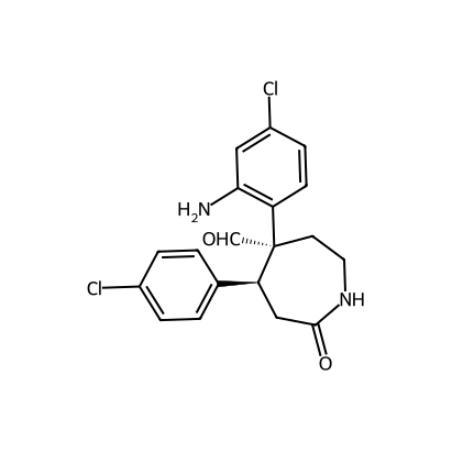 Nc1cc(Cl)ccc1[C@@]1(C=O)CCNC(=O)C[C@H]1c1ccc(Cl)cc1